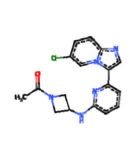 CC(=O)N1CC(Nc2cccc(-c3cnc4ccc(Cl)cn34)n2)C1